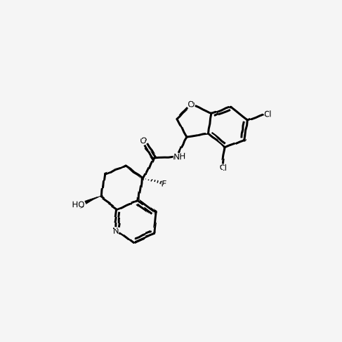 O=C(NC1COc2cc(Cl)cc(Cl)c21)[C@]1(F)CC[C@H](O)c2ncccc21